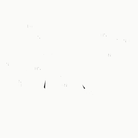 CCCCN(c1ccccc1)[C@@H](Cc1c[nH]cn1)C(=O)N[C@H](Cc1ccccc1)C(=O)N[C@@H](CCCNC(=N)N)C(=O)O